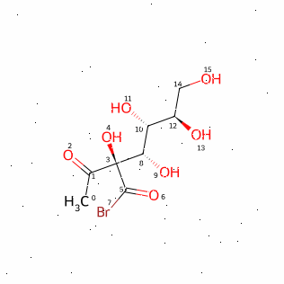 CC(=O)[C@@](O)(C(=O)Br)[C@@H](O)[C@H](O)[C@H](O)CO